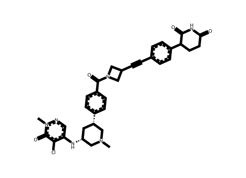 CN1C[C@H](Nc2cnn(C)c(=O)c2Cl)C[C@H](c2ccc(C(=O)N3CC(C#Cc4ccc(C5CCC(=O)NC5=O)cc4)C3)cc2)C1